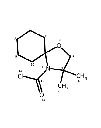 CC1(C)COC2(CCCCC2)N1C(=O)Cl